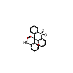 O=S1(=O)c2ccccc2C2(c3ccccc3Nc3ccccc32)c2ccccc21